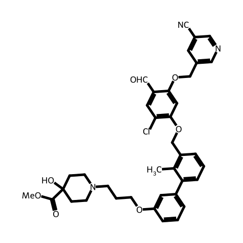 COC(=O)C1(O)CCN(CCCOc2cccc(-c3cccc(COc4cc(OCc5cncc(C#N)c5)c(C=O)cc4Cl)c3C)c2)CC1